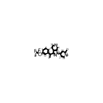 C[C](c1cccc(OC(F)(F)F)c1)c1nn(-c2ccnc(C)c2)c2cnccc12